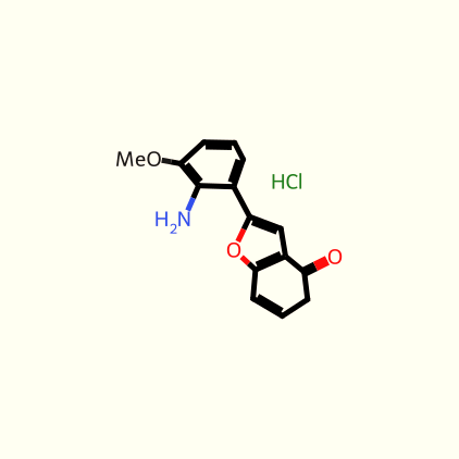 COc1cccc(-c2cc3c(o2)C=CCC3=O)c1N.Cl